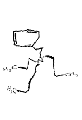 CCCC[N+](CCC)(CCC)Cc1ccccc1